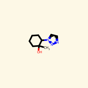 CC1(O)CCCCC1n1ccnn1